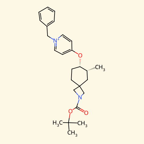 C[C@@H]1CC2(CC[C@@H]1Oc1cc[n+](Cc3ccccc3)cc1)CN(C(=O)OC(C)(C)C)C2